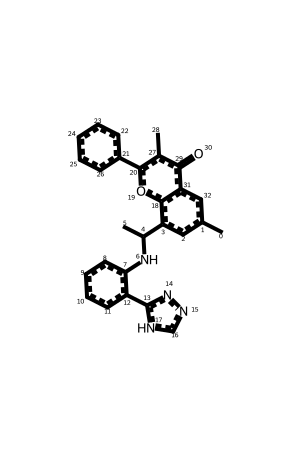 Cc1cc(C(C)Nc2ccccc2-c2nnc[nH]2)c2oc(-c3ccccc3)c(C)c(=O)c2c1